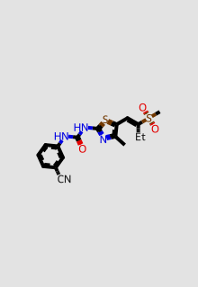 CC/C(=C\c1sc(NC(=O)Nc2cccc(C#N)c2)nc1C)S(C)(=O)=O